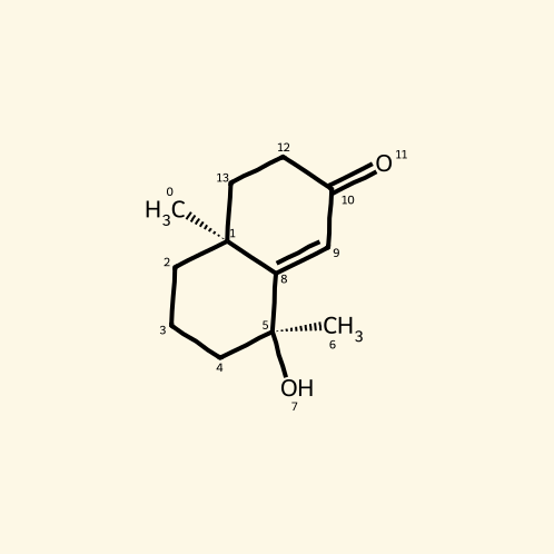 C[C@@]12CCC[C@](C)(O)C1=CC(=O)CC2